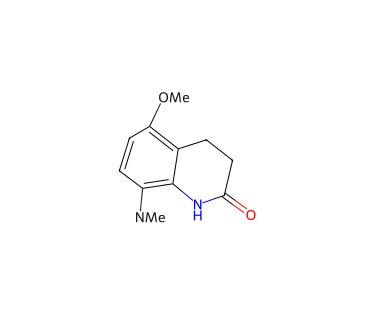 CNc1ccc(OC)c2c1NC(=O)CC2